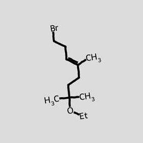 CCOC(C)(C)CCC(C)=CCCBr